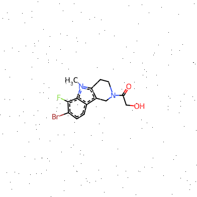 Cn1c2c(c3ccc(Br)c(F)c31)CN(C(=O)CO)CC2